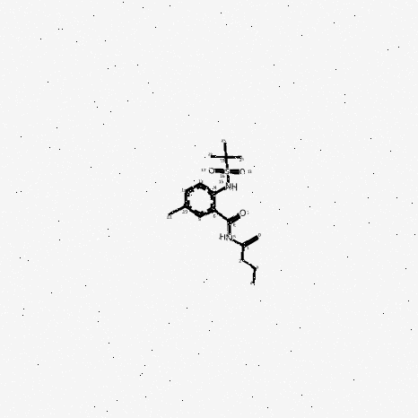 C=C(CCC)NC(=O)c1cc(C)ccc1NS(=O)(=O)C(C)(C)C